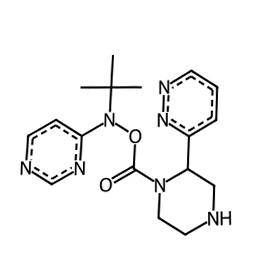 CC(C)(C)N(OC(=O)N1CCNCC1c1cccnn1)c1ccncn1